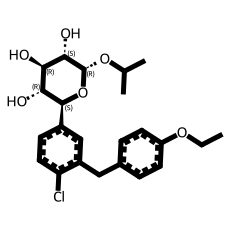 CCOc1ccc(Cc2cc([C@@H]3O[C@@H](OC(C)C)[C@@H](O)[C@H](O)[C@H]3O)ccc2Cl)cc1